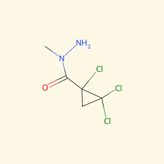 CN(N)C(=O)C1(Cl)CC1(Cl)Cl